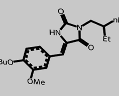 CCCCC(CC)CN1C(=O)N/C(=C\c2ccc(OCC(C)C)c(OC)c2)C1=O